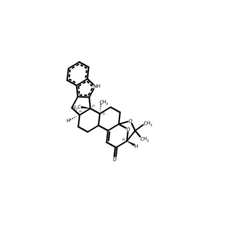 CC1(C)OC23CC[C@@]4(C)C(CC[C@H]5Cc6c([nH]c7ccccc67)[C@@]54C)C2=CC(=O)[C@@H]1O3